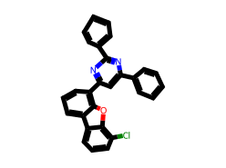 Clc1cccc2c1oc1c(-c3cc(-c4ccccc4)nc(-c4ccccc4)n3)cccc12